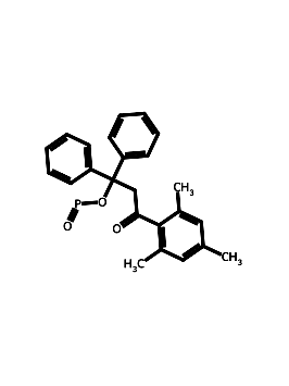 Cc1cc(C)c(C(=O)CC(OP=O)(c2ccccc2)c2ccccc2)c(C)c1